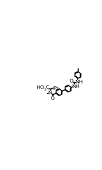 Cc1ccc(NC(=O)Nc2ccc(-c3ccc(C(=O)N(C)[C@H](C(=O)O)C(C)C)cc3)cc2)cc1